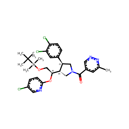 Cc1cc(C(=O)N2C[C@H]([C@H](CO[Si](C)(C)C(C)(C)C)Oc3ccc(Cl)cn3)[C@@H](c3ccc(Cl)c(Cl)c3)C2)cnn1